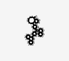 C=C1/C=C\C=C/C/C=C(/c2ccc(N(c3ccc(-c4cc5ccccc5c5ccccc45)cc3)c3cccc4ccccc34)cc2)c2ccccc21